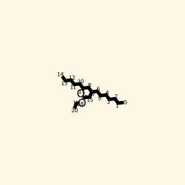 CCCCCCCC(CCCCCCC)CC(=O)OCC